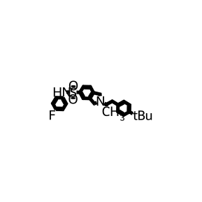 CC(Cc1ccc(C(C)(C)C)cc1)N1Cc2ccc(S(=O)(=O)Nc3ccc(F)cc3)cc2C1